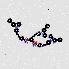 c1ccc(-c2ccc3c(c2)c2ccccc2n3-c2ccc(CCCc3ccc(-c4nnc(-c5cc(CCCc6ccc(-n7c8ccccc8c8cc(-c9ccccc9)ccc87)cc6)cc(-c6nnc(-c7ccc(CCCc8ccc(-n9c%10ccccc%10c%10cc(-c%11ccccc%11)ccc%109)cc8)cc7)o6)c5)o4)cc3)cc2)cc1